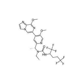 CCN(C(=O)NC(CCC(F)(F)F)C(F)(F)F)[C@H](C)c1cc(-c2cn3ccnc3c(OC)n2)c(OC)cn1